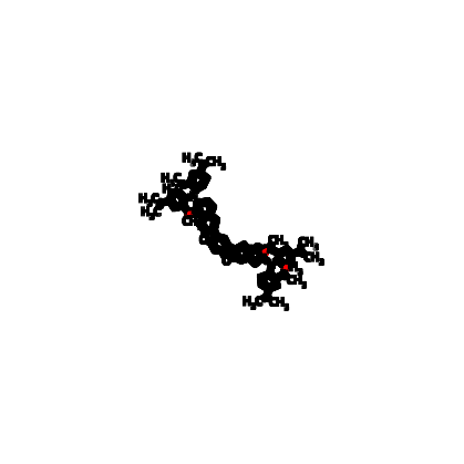 CC(C)c1ccc(N(c2ccc3cc4c(cc3c2)oc2cc3oc5cc6cc(N(c7ccc(C(C)C)cc7C(C)C)c7ccc(C(C)C)cc7C(C)C)ccc6cc5c3cc24)c2ccc(C(C)C)cc2C(C)C)c(C(C)C)c1